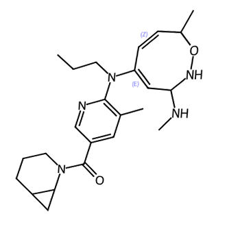 CCCN(C1=C/C(NC)NOC(C)/C=C\1)c1ncc(C(=O)N2CCCC3CC32)cc1C